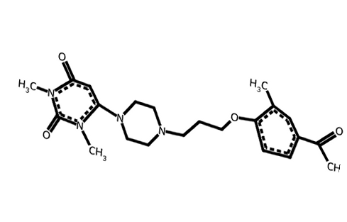 CC(=O)c1ccc(OCCCN2CCN(c3cc(=O)n(C)c(=O)n3C)CC2)c(C)c1